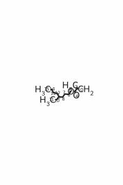 C=C(C)C(=O)OCCCC(CC)CCCC